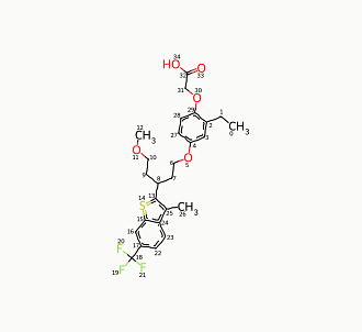 CCc1cc(OCCC(CCOC)c2sc3cc(C(F)(F)F)ccc3c2C)ccc1OCC(=O)O